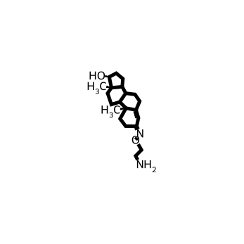 C[C@]12CCC(=NOCCN)C=C1CCC1C2CC[C@@]2(C)C1CC[C@@H]2O